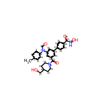 Cc1ccc(N(C=O)c2cc(C(=O)N3CCC(CO)CC3)cc(-c3ccc(C(=O)NO)cc3)c2)cc1